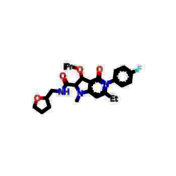 CCc1cc2c(c(=O)n1-c1ccc(F)cc1)C(OC(C)C)C(C(=O)NCC1CCCO1)N2C